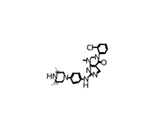 C[C@@H]1CN(c2ccc(Nc3ncc4c(n3)N(C)CN(c3ccccc3Cl)C4=O)cc2)C[C@H](C)N1